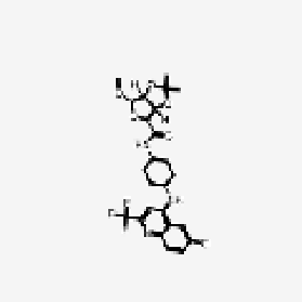 CO[C@@H]1O[C@H](C(=O)N[C@H]2CC[C@@H](Nc3cc(C(F)(F)F)nc4ccc(Cl)cc34)CC2)[C@H]2OC(C)(C)O[C@@H]12